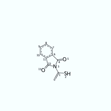 C=C(S)N1C(=O)c2ccccc2C1=O